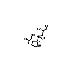 CC(O)CO.O=C(O)[C@@H]1CCCN1.OCC(O)CO